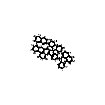 c1ccc(N(c2ccc3c(c2)C(c2ccccc2)(c2ccccc2)c2cc(N(c4ccccc4)c4cccc5ccccc45)c4ccccc4c2-3)c2cccc3ccccc23)cc1